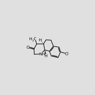 CC1C(=O)CN[C@H]2c3ccc(Cl)cc3CC[C@H]12